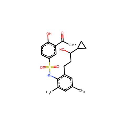 COC(=O)c1cc(S(=O)(=O)Nc2c(C)cc(C)cc2CCC(O)C2CC2)ccc1O